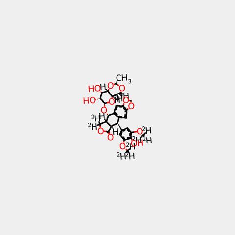 [2H]C([2H])([2H])Oc1cc([C@@H]2c3cc4c(cc3[C@@H](O[C@@H]3O[C@H]5[C@@H](O[C@H](C)OC5([2H])[2H])[C@H](O)[C@H]3O)[C@@H]3[C@@H]2C(=O)OC3([2H])[2H])OCO4)cc(OC([2H])([2H])[2H])c1O